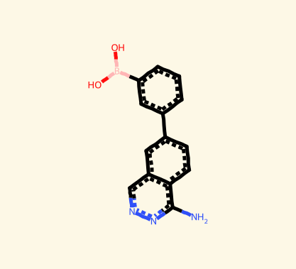 Nc1nncc2cc(-c3cccc(B(O)O)c3)ccc12